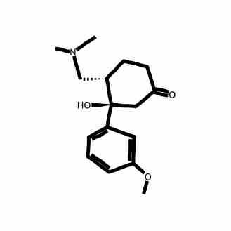 COc1cccc([C@@]2(O)CC(=O)CC[C@H]2CN(C)C)c1